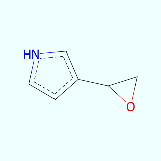 c1cc(C2CO2)c[nH]1